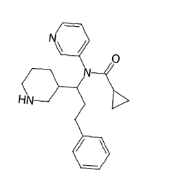 O=C(C1CC1)N(c1cccnc1)C(CCc1ccccc1)C1CCCNC1